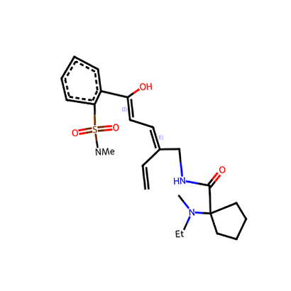 C=C/C(=C\C=C(/O)c1ccccc1S(=O)(=O)NC)CNC(=O)C1(N(C)CC)CCCC1